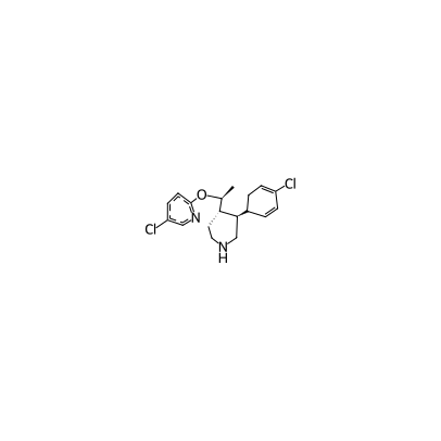 C[C@H](Oc1ccc(Cl)cn1)[C@H]1CCNC[C@@H]1C1C=CC(Cl)=CC1